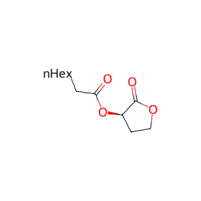 CCCCCCCC(=O)O[C@@H]1CCOC1=O